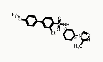 CCc1cc(-c2ccc(OC(F)(F)F)cc2)ccc1S(=O)(=O)N[C@H]1CCC[C@@H](n2cnnc2C)C1